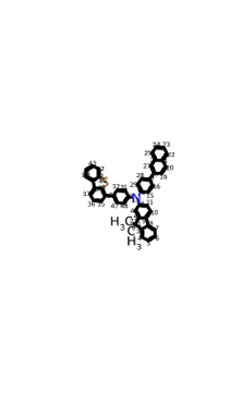 CC1(C)c2ccccc2-c2ccc(N(c3ccc(-c4ccc5ccccc5c4)cc3)c3ccc(-c4cccc5c4sc4ccccc45)cc3)cc21